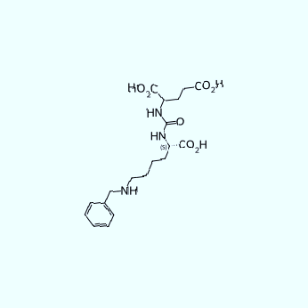 O=C(O)CCC(NC(=O)N[C@@H](CCCCNCc1ccccc1)C(=O)O)C(=O)O